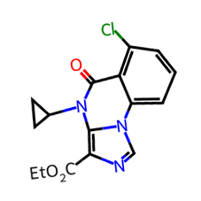 CCOC(=O)c1ncn2c3cccc(Cl)c3c(=O)n(C3CC3)c12